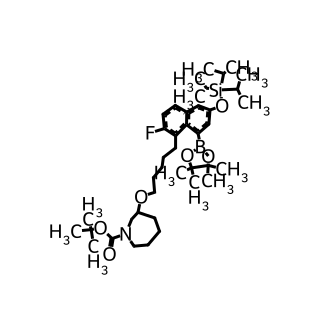 CC(C)[Si](Oc1cc(B2OC(C)(C)C(C)(C)O2)c2c(CCCCCOC3CCCCN(C(=O)OC(C)(C)C)C3)c(F)ccc2c1)(C(C)C)C(C)C